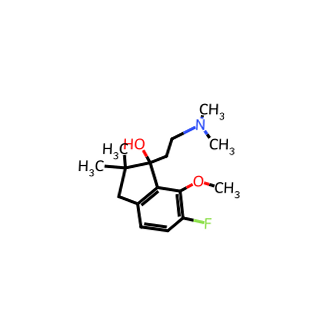 COc1c(F)ccc2c1C(O)(CCN(C)C)C(C)(C)C2